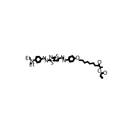 C=CC(=O)OC(C)C(=O)CCCCCCCOc1ccc(N=Nc2cc3sc(N=Nc4ccc(N(CC)CC)cc4)nc3s2)cc1